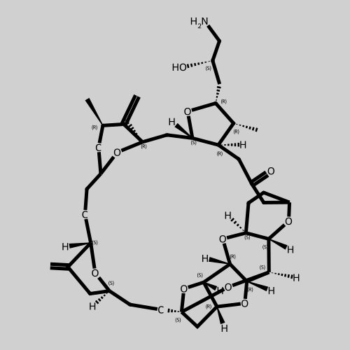 C=C1C[C@@H]2CC[C@@]34C[C@H]5O[C@H]6[C@@H](O3)[C@H]3OC(CC[C@@H]3O[C@H]6[C@H]5O4)CC(=O)C[C@@H]3[C@@H](C)[C@@H](C[C@H](O)CN)O[C@H]3C[C@H]3OC(CC[C@@H]1O2)C[C@@H](C)C3=C